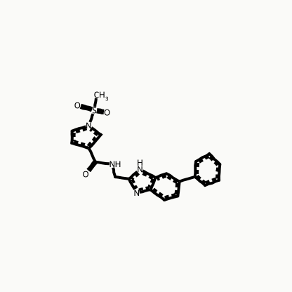 CS(=O)(=O)n1ccc(C(=O)NCc2nc3ccc(-c4ccccc4)cc3[nH]2)c1